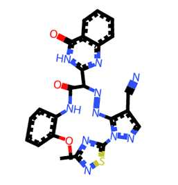 COc1ccccc1NC(=O)C(N=Nc1c(C#N)cnn1-c1nc(C)ns1)c1nc2ccccc2c(=O)[nH]1